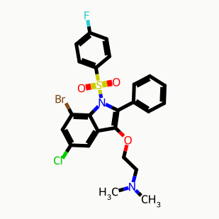 CN(C)CCOc1c(-c2ccccc2)n(S(=O)(=O)c2ccc(F)cc2)c2c(Br)cc(Cl)cc12